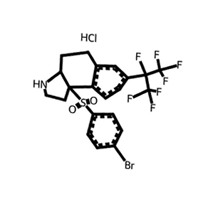 Cl.O=S(=O)(c1ccc(Br)cc1)C12CCNC1CCc1cc(C(F)(C(F)(F)F)C(F)(F)F)ccc12